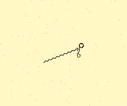 CCCCCCCCCCCCCCCCCCN(C[C]=O)c1ccccc1